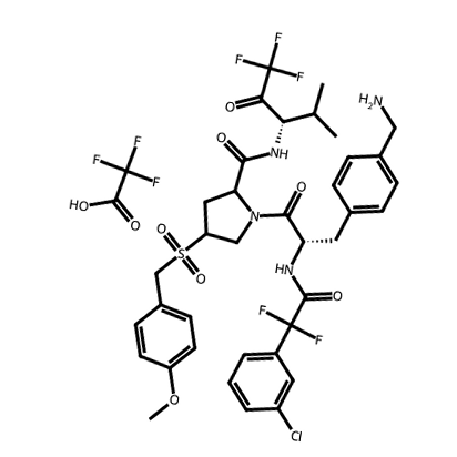 COc1ccc(CS(=O)(=O)C2CC(C(=O)N[C@H](C(=O)C(F)(F)F)C(C)C)N(C(=O)[C@H](Cc3ccc(CN)cc3)NC(=O)C(F)(F)c3cccc(Cl)c3)C2)cc1.O=C(O)C(F)(F)F